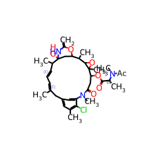 C=C1NC2(O)CC(O1)C(C)C1OC1(C)C(OC(=O)[C@H](C)N(C)C(C)=O)CC(=O)N(C)c1cc(cc(C)c1Cl)C/C(C)=C/C=C/C2C